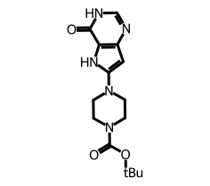 CC(C)(C)OC(=O)N1CCN(c2cc3nc[nH]c(=O)c3[nH]2)CC1